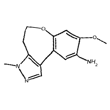 COc1cc2c(cc1N)-c1cnn(C)c1CCO2